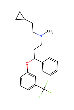 CN(CCC1CC1)CCC(Oc1cccc(C(F)(F)F)c1)c1ccccc1